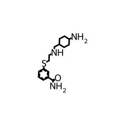 NC(=O)c1cccc(SCCNCC2CCC(N)CC2)c1